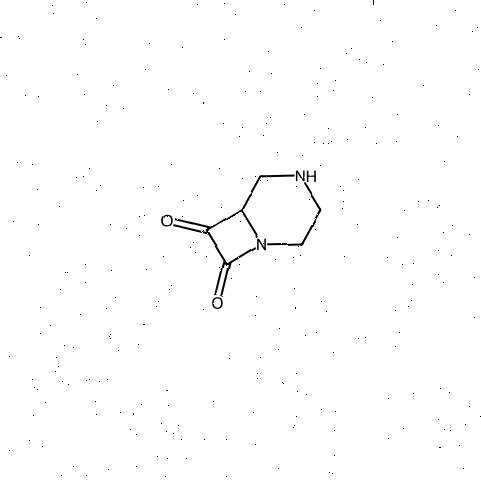 O=C1C(=O)N2CCNCC12